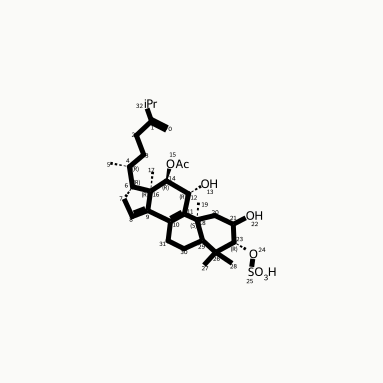 C=C(CC[C@@H](C)[C@H]1CC=C2C3=C([C@@H](O)[C@H](OC(C)=O)[C@@]21C)[C@@]1(C)CC(O)[C@H](OS(=O)(=O)O)C(C)(C)C1CC3)C(C)C